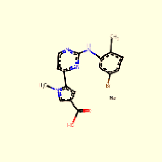 Cc1ccc(Br)cc1Nc1nccc(-c2cc(C(=O)O)cn2C)n1.[Na]